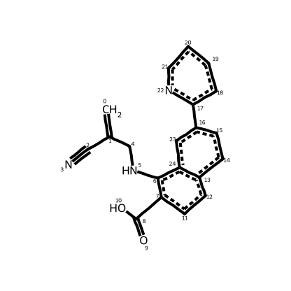 C=C(C#N)CNc1c(C(=O)O)ccc2ccc(-c3ccccn3)cc12